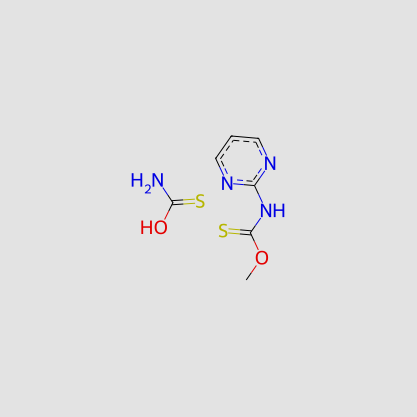 COC(=S)Nc1ncccn1.NC(O)=S